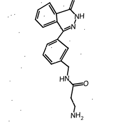 NCCC(=O)NCc1cccc(-c2n[nH]c(=O)c3ccccc23)c1